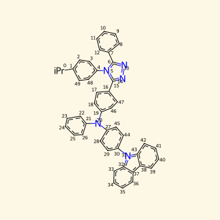 CC(C)c1ccc(-n2c(-c3ccccc3)nnc2-c2ccc(N(c3ccccc3)c3ccc(-n4c5ccccc5c5ccccc54)cc3)cc2)cc1